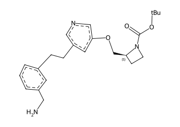 CC(C)(C)OC(=O)N1CC[C@H]1COc1cncc(CCc2cccc(CN)c2)c1